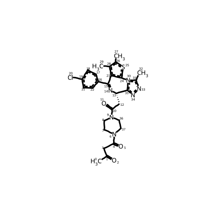 CC(=O)CC(=O)N1CCN(C(=O)C[C@@H]2N=C(c3ccc(Cl)cc3)c3c(sc(C)c3C)-n3c(C)nnc32)CC1